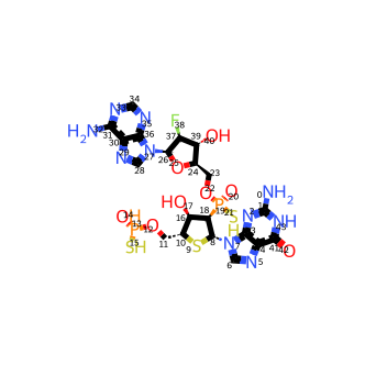 Nc1nc2c(ncn2[C@@H]2S[C@H](CO[PH](=O)S)[C@@H](O)[C@H]2P(=O)(S)OC[C@H]2O[C@@H](n3cnc4c(N)ncnc43)[C@@H](F)[C@@H]2O)c(=O)[nH]1